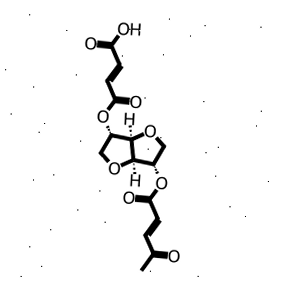 CC(=O)/C=C/C(=O)O[C@H]1CO[C@H]2[C@@H]1OC[C@@H]2OC(=O)/C=C/C(=O)O